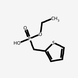 CCOP(=O)(O)Cc1cccs1